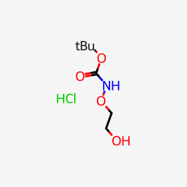 CC(C)(C)OC(=O)NOCCO.Cl